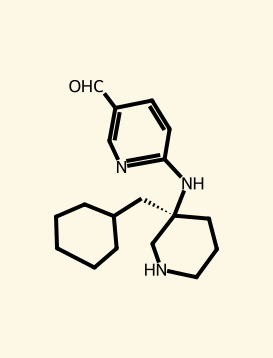 O=Cc1ccc(N[C@@]2(CC3CCCCC3)CCCNC2)nc1